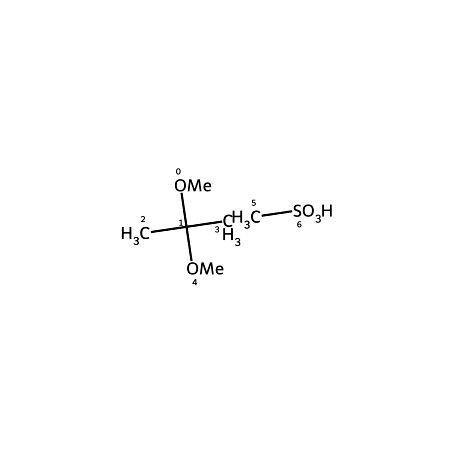 COC(C)(C)OC.CS(=O)(=O)O